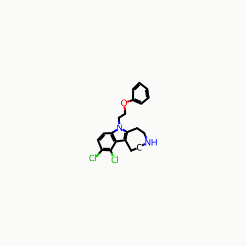 Clc1ccc2c(c1Cl)c1c(n2CCOc2ccccc2)CCNCC1